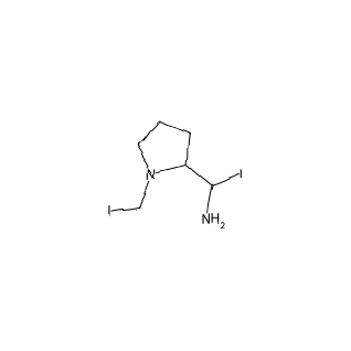 NC(I)C1CCCN1CI